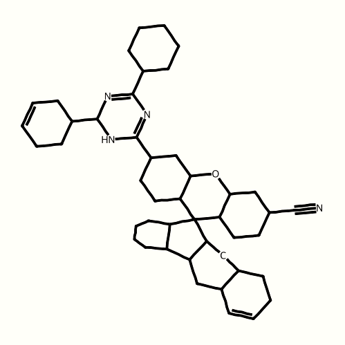 N#CC1CCC2C(C1)OC1CC(C3=NC(C4CCCCC4)=NC(C4CC=CCC4)N3)CCC1C21C2CCCCC2C2CC3C=CCCC3CC21